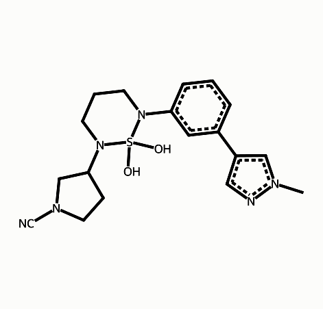 Cn1cc(-c2cccc(N3CCCN(C4CCN(C#N)C4)S3(O)O)c2)cn1